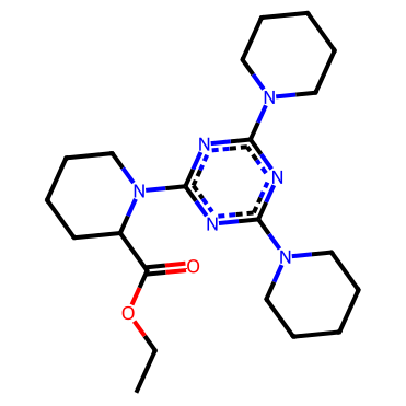 CCOC(=O)C1CCCCN1c1nc(N2CCCCC2)nc(N2CCCCC2)n1